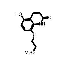 COCCOc1ccc(O)c2c1NC(=O)CC2